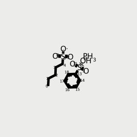 CCCCCS([O])(=O)=O.O=S(=O)(O)c1ccccc1.P